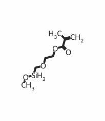 C=C(C)C(=O)OCCOC[SiH2]OC